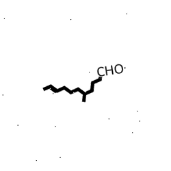 CC=CCCCC(C)CCC[C]=O